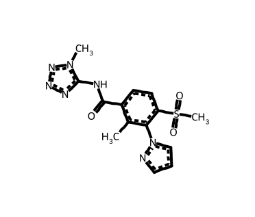 Cc1c(C(=O)Nc2nnnn2C)ccc(S(C)(=O)=O)c1-n1cccn1